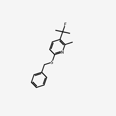 Cc1nc(SCc2ccccc2)ccc1C(C)(C)F